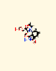 O=C1NC(=O)c2c1cccc2N1CCO[C@H](CO)C1